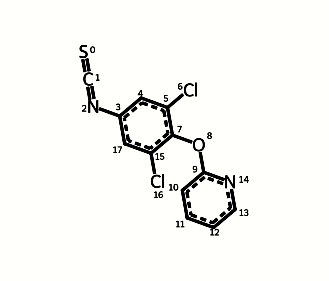 S=C=Nc1cc(Cl)c(Oc2ccccn2)c(Cl)c1